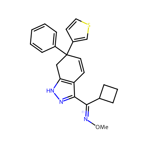 CO/N=C(/c1n[nH]c2c1C=CC(c1ccccc1)(c1ccsc1)C2)C1CCC1